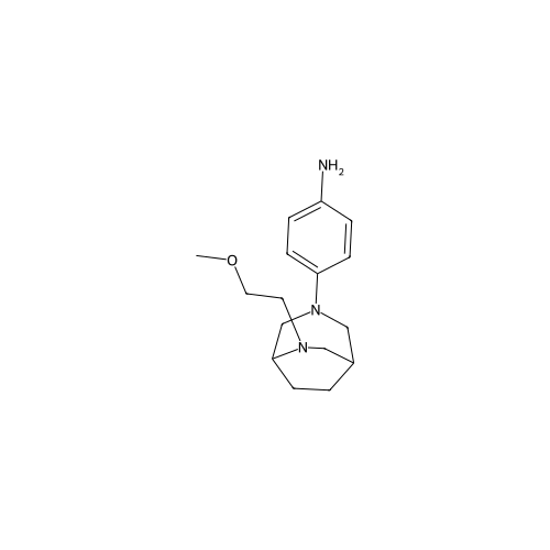 COCCN1CC2CCC1CN(c1ccc(N)cc1)C2